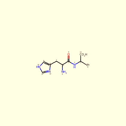 CC(C)C(NC(=O)C(N)Cc1c[nH]cn1)C(=O)O